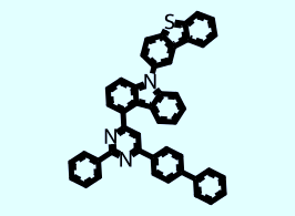 c1ccc(-c2ccc(-c3cc(-c4cccc5c4c4ccccc4n5-c4ccc5sc6ccccc6c5c4)nc(-c4ccccc4)n3)cc2)cc1